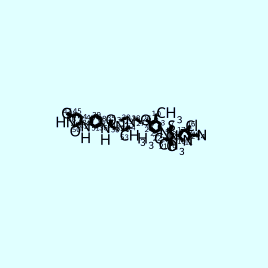 CCc1cc(N2C(=S)N(c3cnc(C#N)c(Cl)c3)C(=O)C2(C)C)ccc1OCCN1CCN(CC(=O)Nc2cccc(NC3CCC(=O)NC3=O)c2)C(C)C1